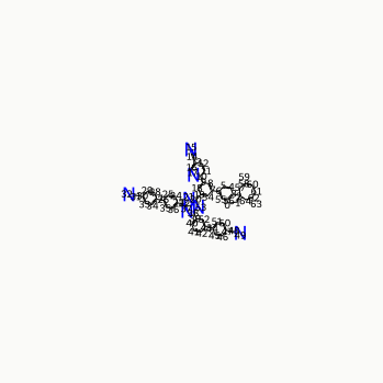 CCC1(c2ccc(-c3cc(-c4ccc(C#N)cn4)cc(-c4nc(-c5ccc(-c6ccc(C#N)cc6)cc5)nc(-c5cccc(-c6ccc(C#N)cc6)c5)n4)c3)cc2)C[C@H](C)CC[C@H](C)C1